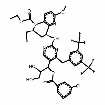 CCOC(=O)N1c2ccc(OC)nc2[C@@H](Nc2ncc(C(OC(=O)c3cccc(Cl)c3)C(O)CO)c(Cc3cc(C(F)(F)F)cc(C(F)(F)F)c3)n2)C[C@H]1CC